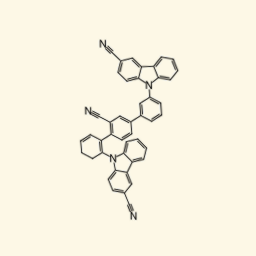 N#Cc1ccc2c(c1)c1ccccc1n2C1=C(c2ccc(-c3cccc(-n4c5ccccc5c5cc(C#N)ccc54)c3)cc2C#N)C=CCC1